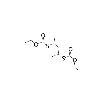 CCOC(=O)SC(C)CC(C)SC(=O)OCC